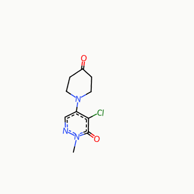 Cn1ncc(N2CCC(=O)CC2)c(Cl)c1=O